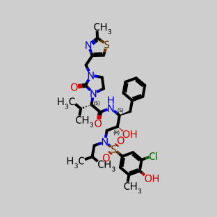 Cc1nc(CN2CCN([C@H](C(=O)N[C@@H](Cc3ccccc3)[C@H](O)CN(CC(C)C)S(=O)(=O)c3cc(C)c(O)c(Cl)c3)C(C)C)C2=O)cs1